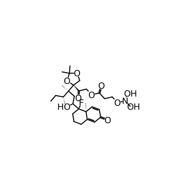 CC[C@@H](C)[C@](C)(C[C@H](O)[C@@]1(F)CCCC2=CC(=O)C=C[C@@]21C)[C@@]1(C(=O)COC(=O)CCON(O)O)COC(C)(C)O1